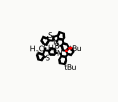 CC(C)(C)c1ccc(N2c3cc4c(cc3B3c5c(cc(C(C)(C)C)cc52)-c2cccc5c6sc7ccccc7c6n3c25)C(C)(C)c2ccccc2S4)c(-c2ccccc2)c1